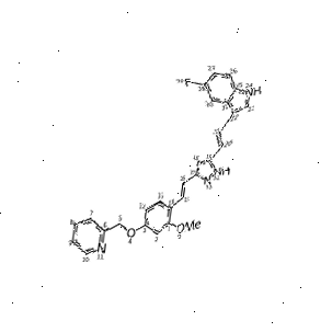 COc1cc(OCc2ccccn2)ccc1/C=C/c1cc(/C=C/c2c[nH]c3ccc(F)cc23)[nH]n1